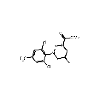 COC(=O)N1CC(C)CN(c2c(Cl)cc(C(F)(F)F)cc2Cl)S1